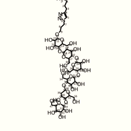 CCCCc1cn(CCCO[C@@H]2OC(CO)[C@@H](O[C@@H]3C[C@@H](O)[C@H](O[C@H]4OC(CO)[C@@H](O[C@H]5OC(CO)[C@@H](O[C@@H]6C[C@@H](O)[C@H](O[C@H]7OC(CO)[C@@H](O)[C@H](O)C7O)C(CO)O6)[C@H](O)C5O)[C@H](O)C4O)C(CO)O3)[C@H](O)C2O)nn1